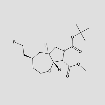 COC(=O)[C@@H]1[C@@H]2OCC[C@@H](CCF)C[C@H]2CN1C(=O)OC(C)(C)C